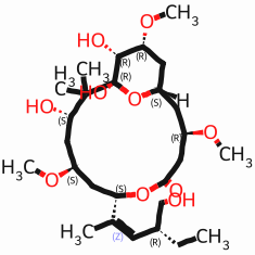 CC[C@H](/C=C(/C)[C@@H]1C[C@@H](OC)C[C@H](O)C(C)(C)[C@@]2(O)O[C@@H](C[C@@H](OC)CC(=O)O1)C[C@@H](OC)[C@H]2O)CO